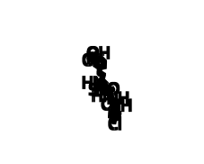 O=C(NNC(=O)c1cc(/C=C/c2cccc([N+](=O)O)c2)[nH]c(=S)n1)Nc1ccc(Cl)cc1